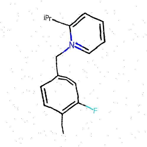 Cc1ccc(C[n+]2ccccc2C(C)C)cc1F